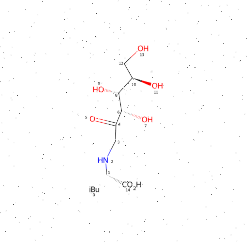 CC[C@H](C)[C@H](NCC(=O)[C@@H](O)[C@H](O)[C@H](O)CO)C(=O)O